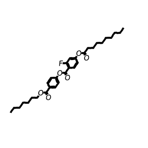 CCCCCCCCCC(=O)Oc1ccc(C(=O)Oc2ccc(C(=O)OCCCCCCC)cc2)c(F)c1